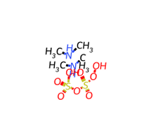 CNC.CNC.O=S(=O)(O)OS(=O)(=O)OO